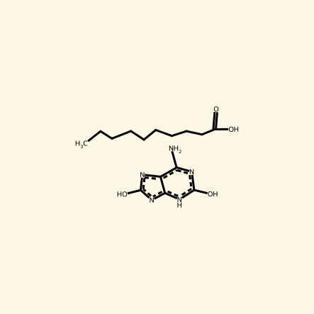 CCCCCCCCCC(=O)O.Nc1nc(O)[nH]c2nc(O)nc1-2